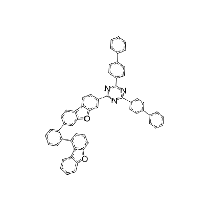 c1ccc(-c2ccc(-c3nc(-c4ccc(-c5ccccc5)cc4)nc(-c4ccc5c(c4)oc4cc(-c6ccccc6-c6cccc7oc8ccccc8c67)ccc45)n3)cc2)cc1